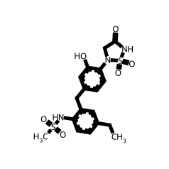 CCc1ccc(NS(C)(=O)=O)c(Cc2ccc(N3CC(=O)NS3(=O)=O)c(O)c2)c1